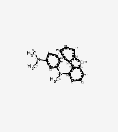 CN(C)c1cccc(N(C)c2cccc3oc4ccccc4c23)c1